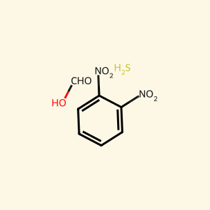 O=CO.O=[N+]([O-])c1ccccc1[N+](=O)[O-].S